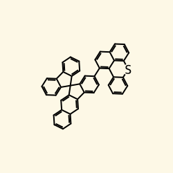 c1ccc2c(c1)Sc1cccc3ccc(-c4ccc5c(c4)C4(c6ccccc6-c6ccccc64)c4cc6ccccc6cc4-5)c-2c13